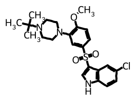 COc1ccc(S(=O)(=O)c2c[nH]c3ccc(Cl)cc23)cc1N1CCN(C(C)(C)C)CC1